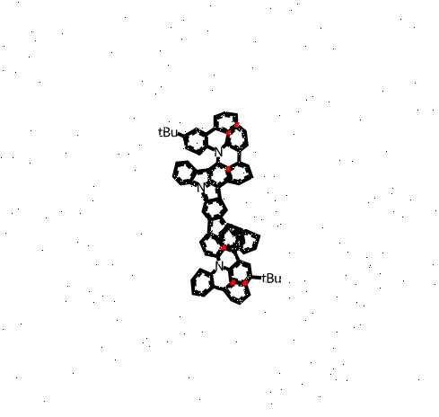 CC(C)(C)c1ccc(N(c2ccccc2-c2ccccc2)c2ccc3c4cc5c(cc4n4c6ccccc6c2c34)c2ccc(N(c3ccccc3-c3ccccc3)c3ccc(C(C)(C)C)cc3-c3ccccc3)c3c4ccccc4n5c23)c(-c2ccccc2)c1